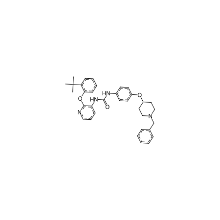 CC(C)(C)c1ccccc1Oc1ncccc1NC(=O)Nc1ccc(OC2CCN(Cc3ccccc3)CC2)cc1